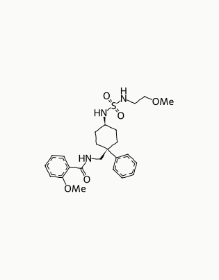 COCCNS(=O)(=O)N[C@H]1CC[C@](CNC(=O)c2ccccc2OC)(c2ccccc2)CC1